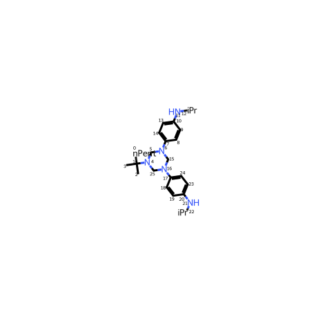 CCCCCC(C)(C)N1CN(c2ccc(NC(C)C)cc2)CN(c2ccc(NC(C)C)cc2)C1